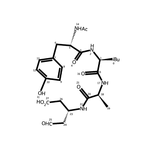 CCC(C)[C@H](NC(=O)[C@H](Cc1ccc(O)cc1)NC(C)=O)C(=O)N[C@@H](C)C(=O)N[C@H](CC=O)CC(=O)O